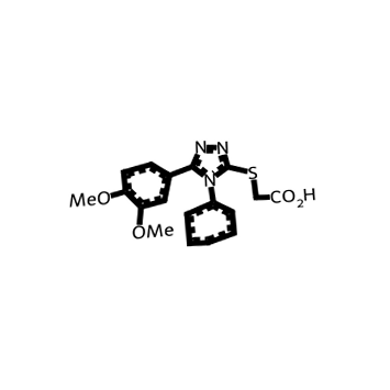 COc1ccc(-c2nnc(SCC(=O)O)n2-c2ccccc2)cc1OC